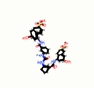 O=C(Nc1cccc(C(=O)Nc2cc(O)cc3cc(S(=O)(=O)O)ccc23)c1)Nc1cccc(C(=O)Nc2cc(O)cc3cc(S(=O)(=O)O)ccc23)c1